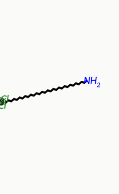 C[Si](Cl)(Cl)CCCCCCCCCCCCCCCCCCCCCCCCCCCCCN